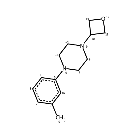 Cc1cccc(N2CCN(C3COC3)CC2)c1